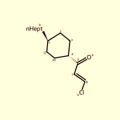 CCCCCCC[C@H]1CC[C@H](C(=O)C=CCl)CC1